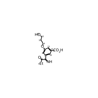 CCC(=O)C(=N)c1cc(OCCCO)cc(C(=O)O)c1